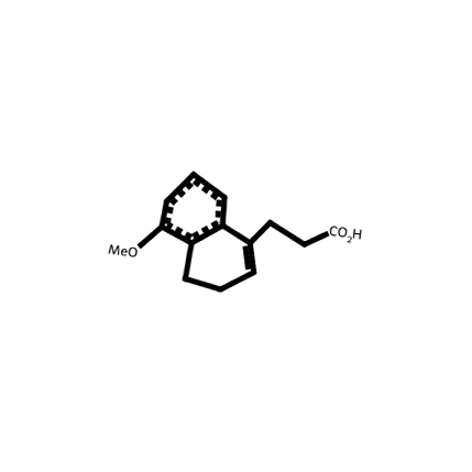 COc1cccc2c1CCC=C2CCC(=O)O